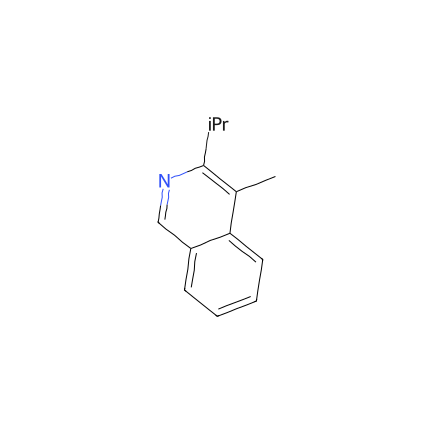 Cc1c(C(C)C)ncc2ccccc12